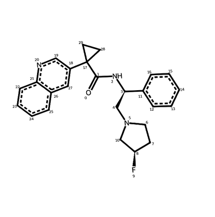 O=C(N[C@H](CN1CC[C@@H](F)C1)c1ccccc1)C1(c2cnc3ccccc3c2)CC1